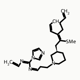 C=CCCC(/C=C\C)=C(/C[C@H]1CCCN(CC/C=N\C(=N/C=C)n2ccnc2)C1)SC